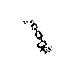 CCCCCCCCCc1cnc(-c2ccc(C3CCC(C#N)(CCCCCCCCC)CC3)cc2)nc1